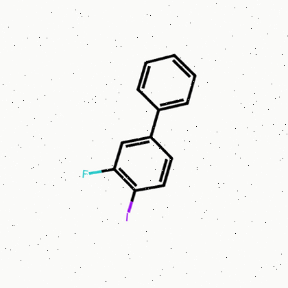 Fc1cc(-c2ccccc2)ccc1I